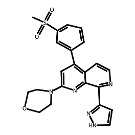 CS(=O)(=O)c1cccc(-c2cc(N3CCOCC3)nc3c(-c4cc[nH]n4)nccc23)c1